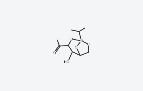 CC(=O)C1O[Si]2(C(C)C)OCC(O2)C1O